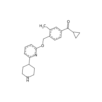 Cc1cc(C(=O)C2CC2)ccc1COc1cccc(C2CCNCC2)n1